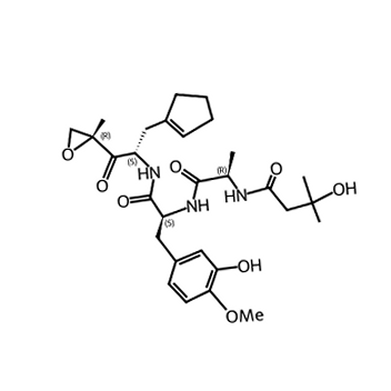 COc1ccc(C[C@H](NC(=O)[C@@H](C)NC(=O)CC(C)(C)O)C(=O)N[C@@H](CC2=CCCC2)C(=O)[C@@]2(C)CO2)cc1O